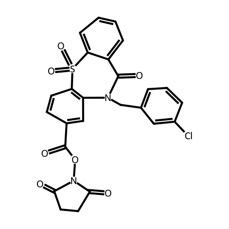 O=C(ON1C(=O)CCC1=O)c1ccc2c(c1)N(Cc1cccc(Cl)c1)C(=O)c1ccccc1S2(=O)=O